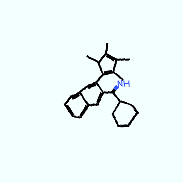 CC1=C(C)C(C)C(c2cc3ccccc3cc2C(=N)C2CCCCC2)=C1C